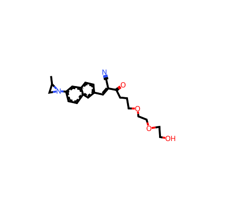 CC1CN1c1ccc2cc(/C=C(\C#N)C(=O)CCCOCCOCCO)ccc2c1